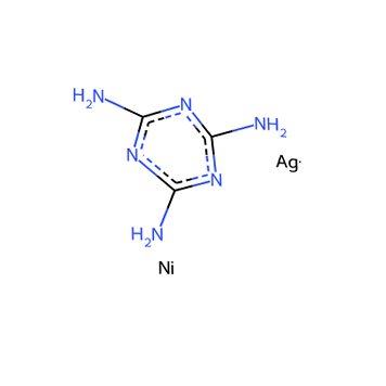 Nc1nc(N)nc(N)n1.[Ag].[Ni]